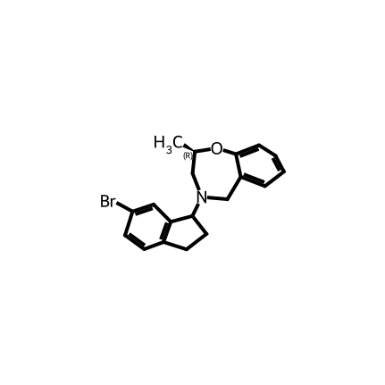 C[C@@H]1CN(C2CCc3ccc(Br)cc32)Cc2ccccc2O1